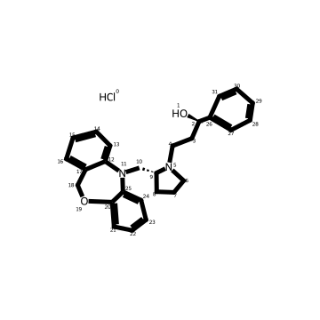 Cl.O[C@H](CCN1CCC[C@@H]1CN1c2ccccc2COc2ccccc21)c1ccccc1